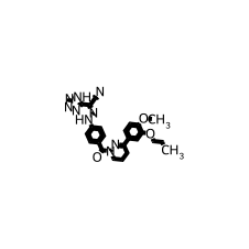 CCCOc1cc(C2=NN(C(=O)c3ccc(N/N=C(/C#N)c4nnn[nH]4)cc3)CCC2)ccc1OC